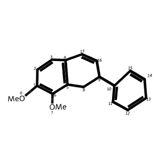 COc1ccc2c(c1OC)CC(c1ccccc1)C=C2